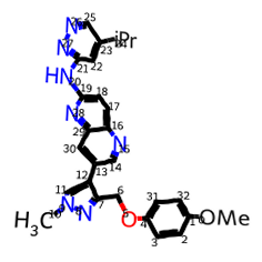 COc1ccc(OCc2nn(C)cc2-c2cnc3ccc(Nc4cc(C(C)C)cnn4)nc3c2)cc1